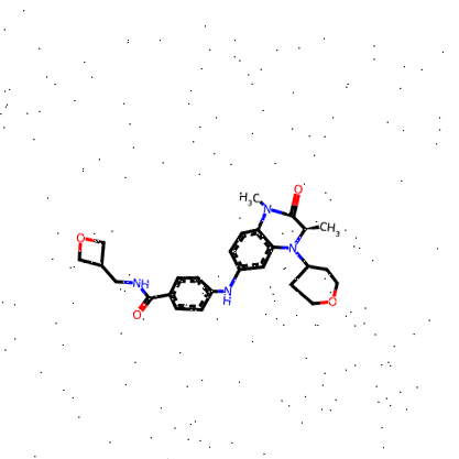 C[C@@H]1C(=O)N(C)c2ccc(Nc3ccc(C(=O)NCC4COC4)cc3)cc2N1C1CCOCC1